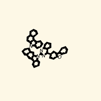 c1cc(-n2c3ccccc3c3c4ccccc4ccc32)c2cc3c(cc2c1)c1ccccc1n3-c1nc(-c2ccc3oc4ccccc4c3c2)c2ccccc2n1